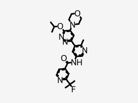 Cc1ncc(NC(=O)c2ccnc(C(C)(C)F)c2)cc1-c1cc(N2CCOCC2)c(OC(C)C)nn1